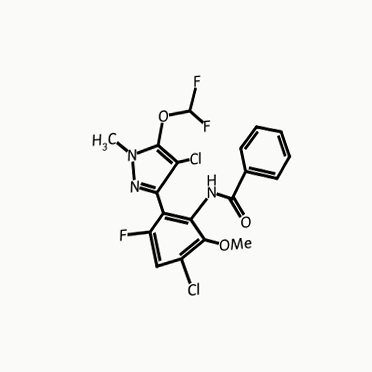 COc1c(Cl)cc(F)c(-c2nn(C)c(OC(F)F)c2Cl)c1NC(=O)c1ccccc1